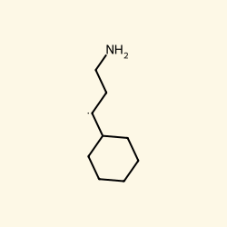 NCC[CH]C1CCCCC1